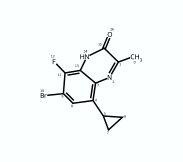 Cc1nc2c(C3CC3)cc(Br)c(F)c2[nH]c1=O